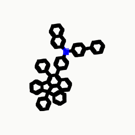 c1ccc(-c2ccc(N(c3ccc(-c4c(-c5ccccc5)c5c(c6ccccc46)C(c4ccccc4)(c4ccccc4)c4ccccc4-5)cc3)c3ccc4ccccc4c3)cc2)cc1